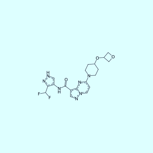 O=C(Nc1c[nH]nc1C(F)F)c1cnn2ccc(N3CCC(OC4COC4)CC3)nc12